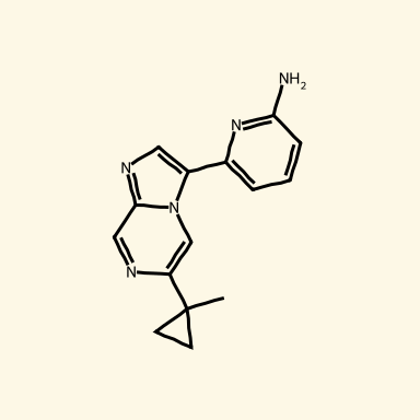 CC1(c2cn3c(-c4cccc(N)n4)cnc3cn2)CC1